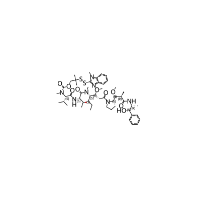 CC[C@H](C)[C@@H]([C@@H](CC(=O)N1CCC[C@H]1[C@H](OC)[C@@H](C)C(=O)N[C@H](C)[C@@H](O)c1ccccc1)OC)N(C)C(=O)[C@@H](NC(=O)[C@H](C(C)C)N(C)C(=O)OCC(C)(C)SSc1nc2ccccc2n1C)C(C)C